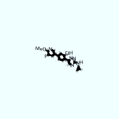 COc1ncc(-c2ccc(-c3cnc(NC4CC4)nn3)c(O)c2)cc1F